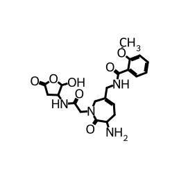 COc1ccccc1C(=O)NCC1=CCC(N)C(=O)N(CC(=O)NC2CC(=O)OC2O)C1